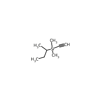 C#C[Si](C)(C)C(C)CC